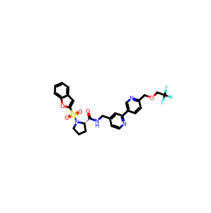 O=C(NCc1ccnc(-c2ccc(COCC(F)(F)F)nc2)c1)[C@@H]1CCCN1S(=O)(=O)c1cc2ccccc2o1